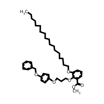 CCCCCCCCCCCCCCCCCCOc1cccc(C(=O)OC)c1OCCCOc1ccc(OCc2ccccc2)cc1